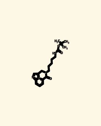 CC(C)(C)OC(=O)NCCCCCN1Cc2cnc3cccc(n23)C1=O